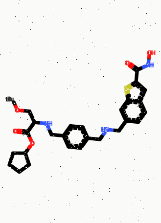 CC(C)(C)OCC(NCc1ccc(CNCc2ccc3cc(C(=O)NO)sc3c2)cc1)C(=O)OC1CCCC1